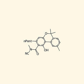 CCCCCc1cc2c(c(O)c1C(=O)N(C)C#N)-c1cc(C)ccc1C(C)(C)O2